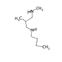 CCCCNCC(C)CNC